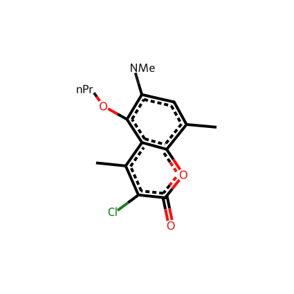 CCCOc1c(NC)cc(C)c2oc(=O)c(Cl)c(C)c12